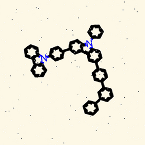 c1ccc(-c2cccc(-c3ccc(-c4ccc5c(c4)c4cc(-c6ccc(-n7c8ccccc8c8ccccc87)cc6)ccc4n5-c4ccccc4)cc3)c2)cc1